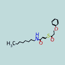 CCCCCCCCNC(=O)C=CSC(=O)CCOc1ccccc1